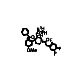 [2H]C([2H])([2H])N(C)CC1CN(C(=O)Cc2cc(F)c(F)cc2F)CCC1(OC(=O)c1ccccc1)c1cccc(OC)c1